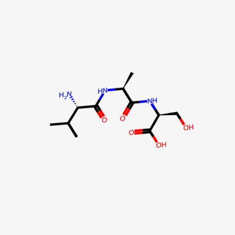 CC(C)[C@H](N)C(=O)N[C@@H](C)C(=O)N[C@@H](CO)C(=O)O